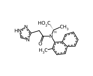 Cc1ccc2ccccc2c1N(C(=O)Cc1nc[nH]n1)[C@@H](C)C(=O)O